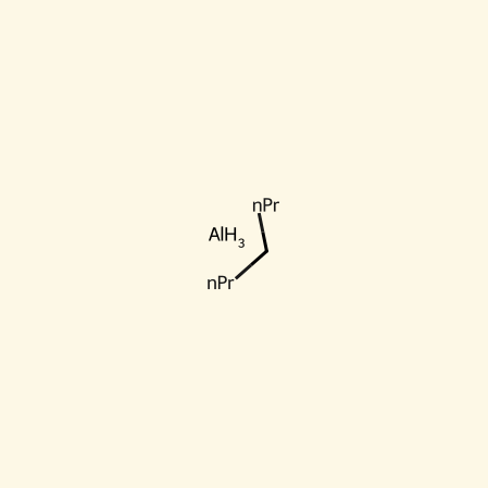 CCCCCCC.[AlH3]